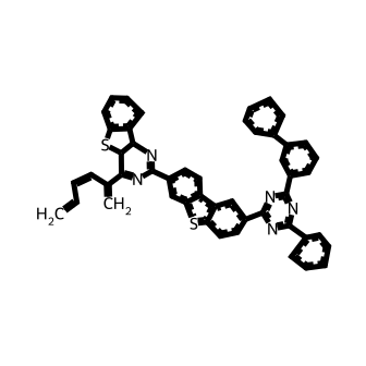 C=C/C=C\C(=C)C1=NC(c2ccc3c(c2)sc2ccc(-c4nc(-c5ccccc5)nc(-c5cccc(-c6ccccc6)c5)n4)cc23)=NC2c3ccccc3SC12